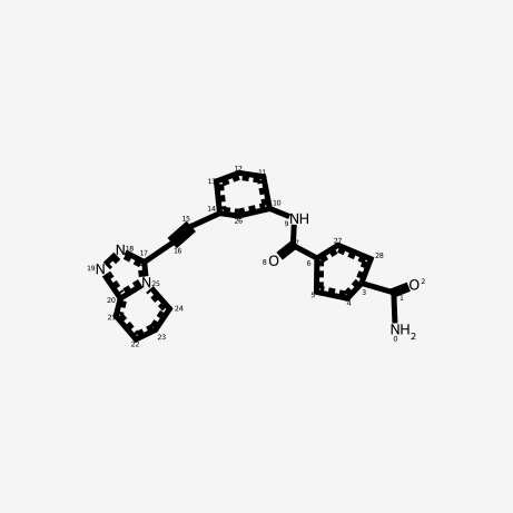 NC(=O)c1ccc(C(=O)Nc2cccc(C#Cc3nnc4ccccn34)c2)cc1